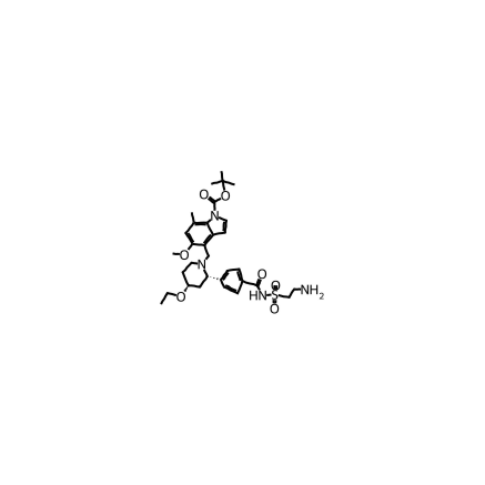 CCO[C@H]1CCN(Cc2c(OC)cc(C)c3c2ccn3C(=O)OC(C)(C)C)[C@H](c2ccc(C(=O)NS(=O)(=O)CCN)cc2)C1